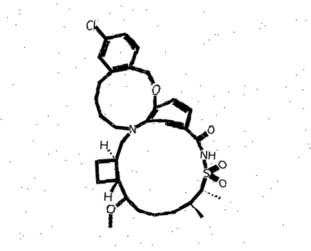 COC1CCC[C@H](C)[C@@H](C)S(=O)(=O)NC(=O)c2ccc3c(c2)N(CCCCc2cc(Cl)ccc2CO3)C[C@@H]2CC[C@@H]12